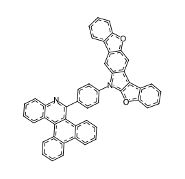 c1ccc2c(c1)nc(-c1ccc(-n3c4cc5c(cc4c4c6ccccc6oc43)oc3ccccc35)cc1)c1c3ccccc3c3ccccc3c21